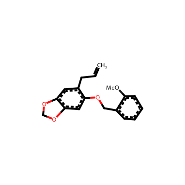 C=CCc1cc2c(cc1OCc1ccccc1OC)OCO2